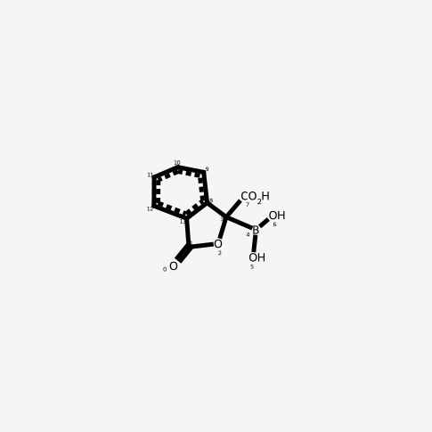 O=C1OC(B(O)O)(C(=O)O)c2ccccc21